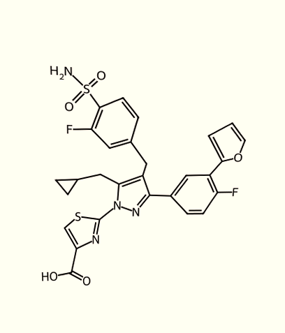 NS(=O)(=O)c1ccc(Cc2c(-c3ccc(F)c(-c4ccco4)c3)nn(-c3nc(C(=O)O)cs3)c2CC2CC2)cc1F